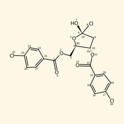 O=C(OC[C@H]1O[C@](O)(Cl)C[C@@H]1OC(=O)c1ccc(Cl)cc1)c1ccc(Cl)cc1